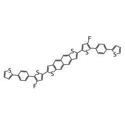 Fc1cc(-c2cc3cc4cc5sc(-c6cc(F)c(-c7ccc(-c8cccs8)cc7)s6)cc5cc4cc3s2)sc1-c1ccc(-c2cccs2)cc1